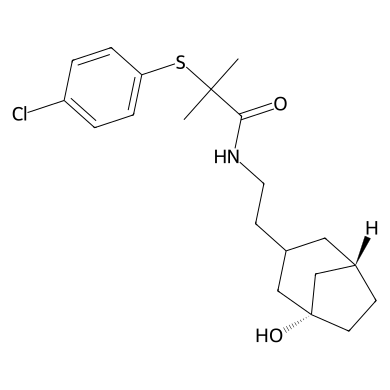 CC(C)(Sc1ccc(Cl)cc1)C(=O)NCCC1C[C@@H]2CC[C@@](O)(C1)C2